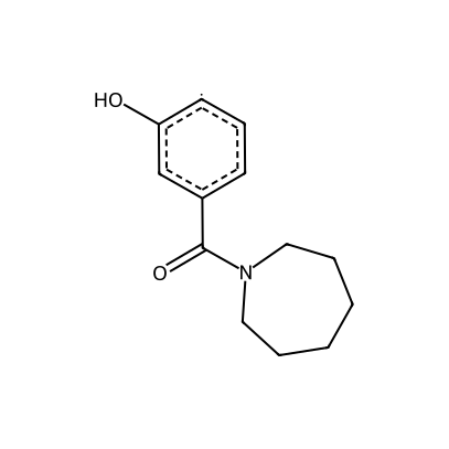 O=C(c1cc[c]c(O)c1)N1CCCCCC1